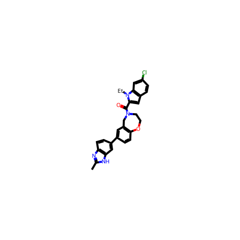 CCn1c(C(=O)N2CCOc3ccc(-c4ccc5nc(C)[nH]c5c4)cc3C2)cc2ccc(Cl)cc21